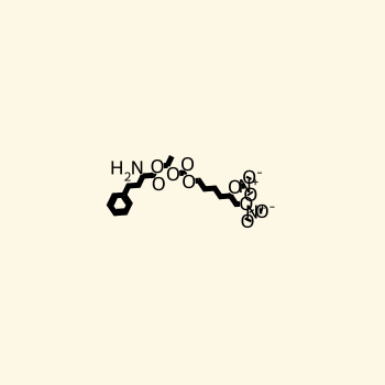 CC(OC(=O)OCCCCC(CO[N+](=O)[O-])O[N+](=O)[O-])OC(=O)C(N)CCc1ccccc1